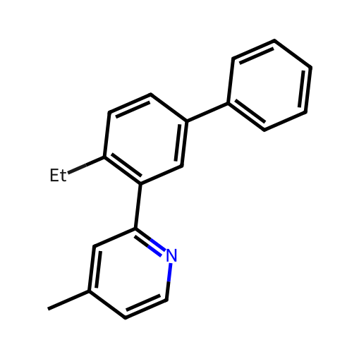 CCc1ccc(-c2ccccc2)cc1-c1cc(C)ccn1